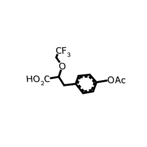 CC(=O)Oc1ccc(CC(OCC(F)(F)F)C(=O)O)cc1